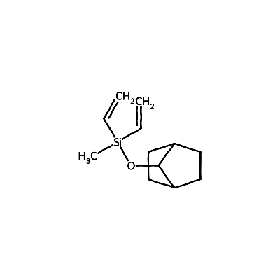 C=C[Si](C)(C=C)OC1C2CCC1CC2